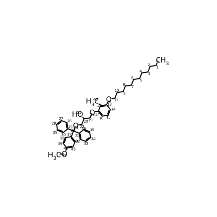 CCCCCCCCCCCCOc1cccc(OCC(O)COC(c2ccccc2)(c2ccccc2)c2ccc(OC)cc2)c1C